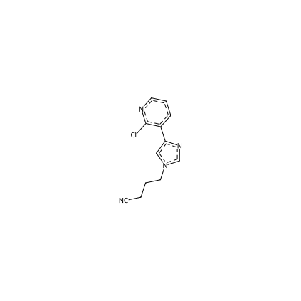 N#CCCCn1cnc(-c2cccnc2Cl)c1